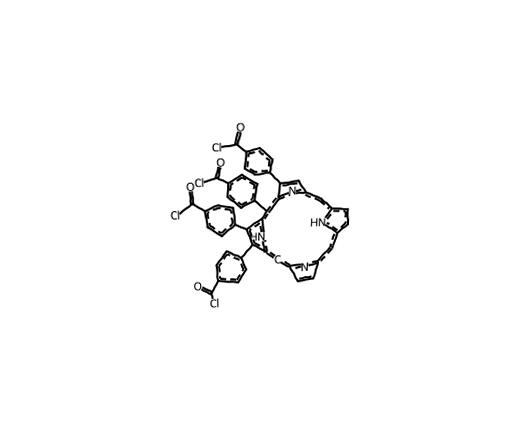 O=C(Cl)c1ccc(C2=Cc3cc4ccc(cc5nc(cc6[nH]c(c(-c7ccc(C(=O)Cl)cc7)c2n3)c(-c2ccc(C(=O)Cl)cc2)c6-c2ccc(C(=O)Cl)cc2)C=C5)[nH]4)cc1